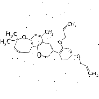 C=CCOc1ccc(C2=Cc3c(C)cc4c(c3OC2)CC=CC(C)(C)O4)c(OCC=C)c1